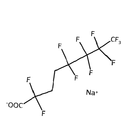 O=C([O-])C(F)(F)CCC(F)(F)C(F)(F)C(F)(F)C(F)(F)F.[Na+]